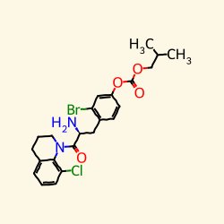 CC(C)COC(=O)Oc1ccc(C[C@H](N)C(=O)N2CCCc3cccc(Cl)c32)c(Br)c1